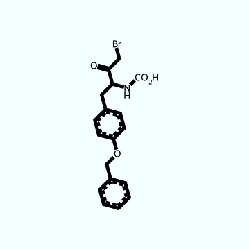 O=C(O)NC(Cc1ccc(OCc2ccccc2)cc1)C(=O)CBr